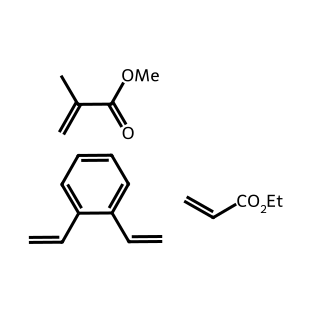 C=C(C)C(=O)OC.C=CC(=O)OCC.C=Cc1ccccc1C=C